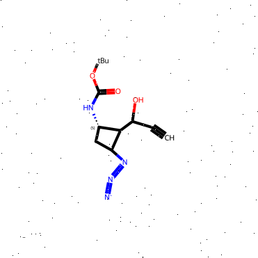 C#CC(O)C1C(N=[N+]=[N-])C[C@@H]1NC(=O)OC(C)(C)C